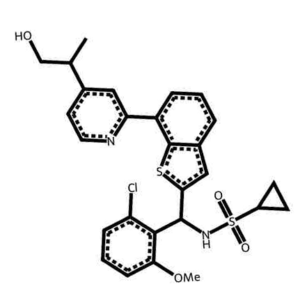 COc1cccc(Cl)c1C(NS(=O)(=O)C1CC1)c1cc2cccc(-c3cc(C(C)CO)ccn3)c2s1